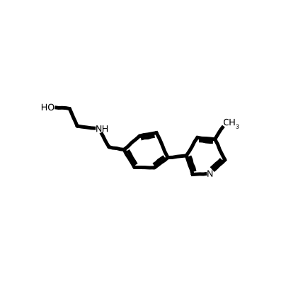 Cc1cncc(-c2ccc(CNCCO)cc2)c1